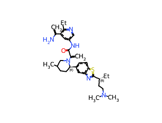 C=C(N)c1cc(NC(=O)C(=C)N2CC(C)CC[C@@H]2c2ccc3sc([C@H](CC)CCN(C)C)nc3c2)cnc1CC